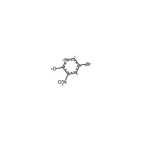 [O]c1ncc(Br)cc1[N+](=O)[O-]